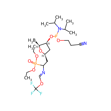 B[C@@H]1O[C@H](CC(N=COC(F)(F)F)P(=O)(OCC)OCC)C[C@@H]1OP(OCCC#N)N(C(C)C)C(C)C